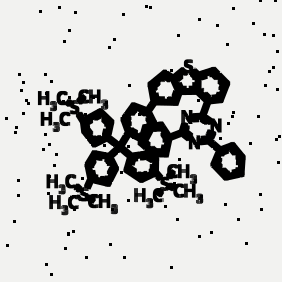 CS(C)(C)c1ccc(C(c2ccc(-c3ccc4sc5cccc(-c6nc(-c7ccccc7)nc(-c7ccccc7)n6)c5c4c3)cc2)(c2ccc(S(C)(C)C)cc2)c2ccc(S(C)(C)C)cc2)cc1